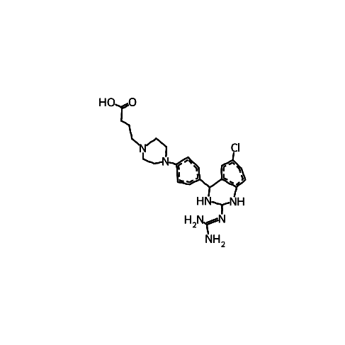 NC(N)=NC1Nc2ccc(Cl)cc2C(c2ccc(N3CCN(CCCC(=O)O)CC3)cc2)N1